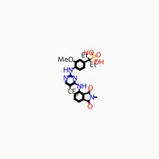 CCC(CC)(c1ccc(Nc2ncc(C(F)(F)F)c(Nc3cccc4c3C(=O)N(C)C4=O)n2)c(OC)c1)P(=O)(O)O